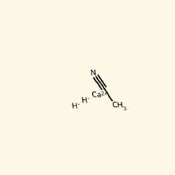 CC#N.[Ca+2].[H-].[H-]